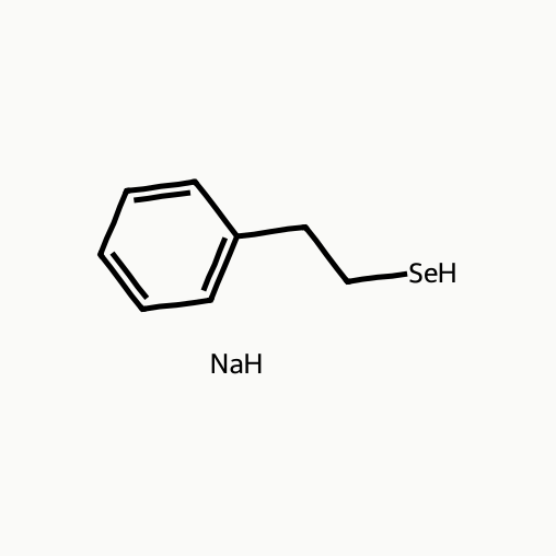 [NaH].[SeH]CCc1ccccc1